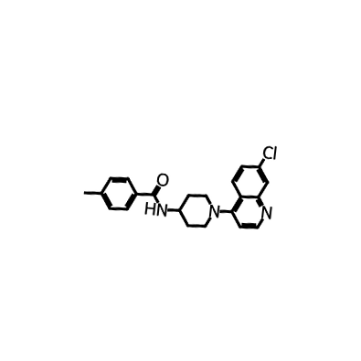 Cc1ccc(C(=O)NC2CCN(c3ccnc4cc(Cl)ccc34)CC2)cc1